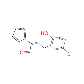 O=CC(=CCc1cc(Cl)ccc1O)c1ccccc1